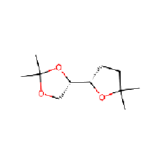 CC1(C)CC[C@@H]([C@@H]2COC(C)(C)O2)O1